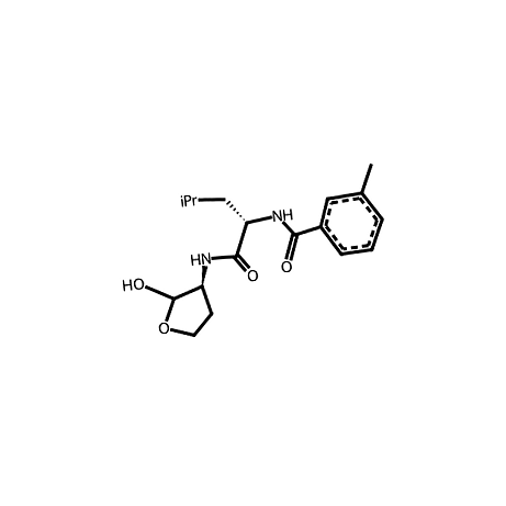 Cc1cccc(C(=O)N[C@@H](CC(C)C)C(=O)N[C@H]2CCOC2O)c1